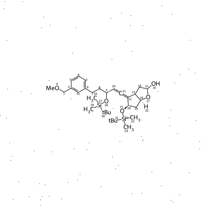 COCc1cccc(CCC(C=C=C2C3CC(O)O[C@H]3C[C@H]2O[Si](C)(C)C(C)(C)C)O[Si](C)(C)C(C)(C)C)c1